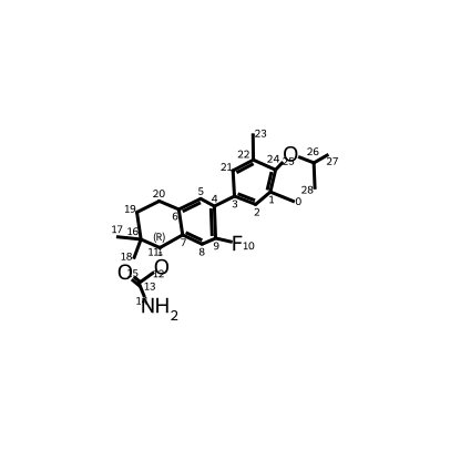 Cc1cc(-c2cc3c(cc2F)[C@H](OC(N)=O)C(C)(C)CC3)cc(C)c1OC(C)C